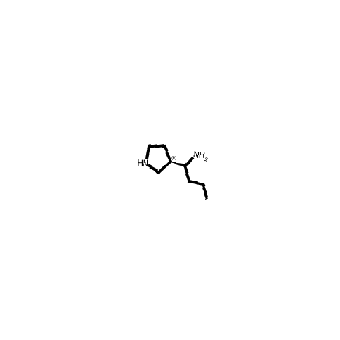 CCCC(N)[C@@H]1CCNC1